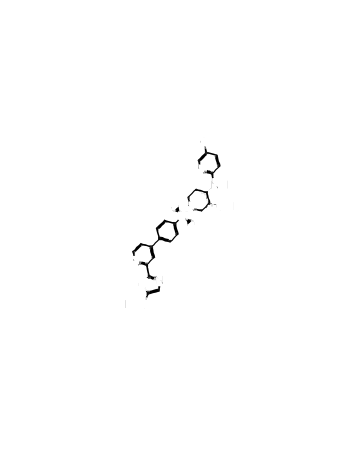 Cc1ccc(N[C@@H]2CCN(S(=O)(=O)c3ccc(-c4ccnc(-c5ncc(C)o5)c4)cc3)C[C@@H]2O)nc1